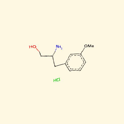 COc1cccc(CC(N)CO)c1.Cl